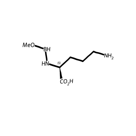 COBN[C@@H](CCCN)C(=O)O